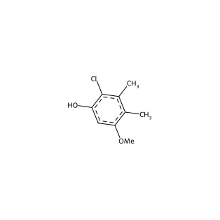 COc1cc(O)c(Cl)c(C)c1C